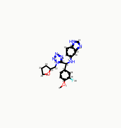 COc1ccc(C(Nc2ccc3[nH]cnc3c2)c2nnnn2CC2CCCO2)cc1F